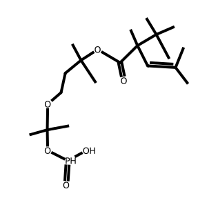 CC(C)=CC(C)(C(=O)OC(C)(C)CCOC(C)(C)O[PH](=O)O)C(C)(C)C